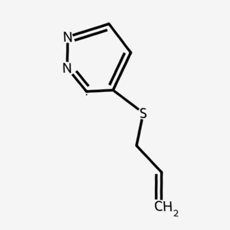 C=CCSc1[c]nncc1